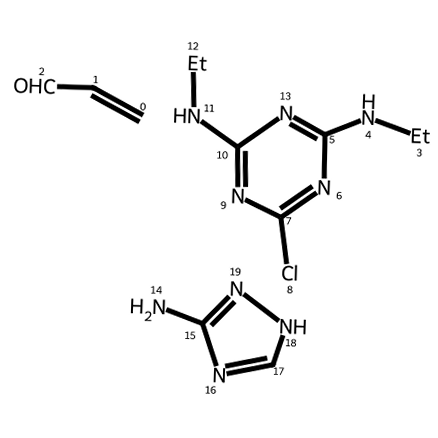 C=CC=O.CCNc1nc(Cl)nc(NCC)n1.Nc1nc[nH]n1